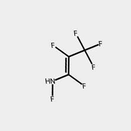 FN/C(F)=C(\F)C(F)(F)F